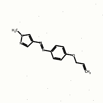 C=CCOc1ccc(N=Nc2cnn(C)c2)cc1